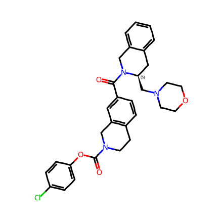 O=C(Oc1ccc(Cl)cc1)N1CCc2ccc(C(=O)N3Cc4ccccc4C[C@H]3CN3CCOCC3)cc2C1